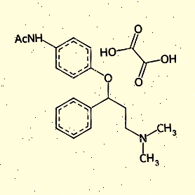 CC(=O)Nc1ccc(OC(CCN(C)C)c2ccccc2)cc1.O=C(O)C(=O)O